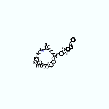 C=CCC1/C=C(\C)CC(C)CC(OC)C2OC(O)(C(=O)C(=O)N3CCCCC3C(=O)OC(C(C)=CC3CCC(N(C)c4ccc5c(ccn5Cc5ccccc5)c4)C(OC)C3)C(C)CCC1=O)C(C)CC2OC